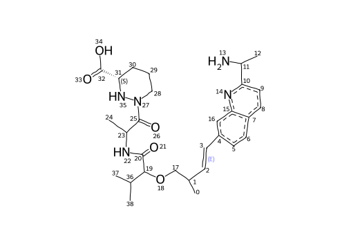 CC(/C=C/c1ccc2ccc(C(C)N)nc2c1)COC(C(=O)NC(C)C(=O)N1CCC[C@@H](C(=O)O)N1)C(C)C